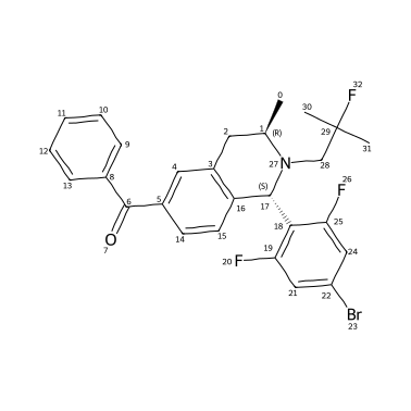 C[C@@H]1Cc2cc(C(=O)c3ccccc3)ccc2[C@@H](c2c(F)cc(Br)cc2F)N1CC(C)(C)F